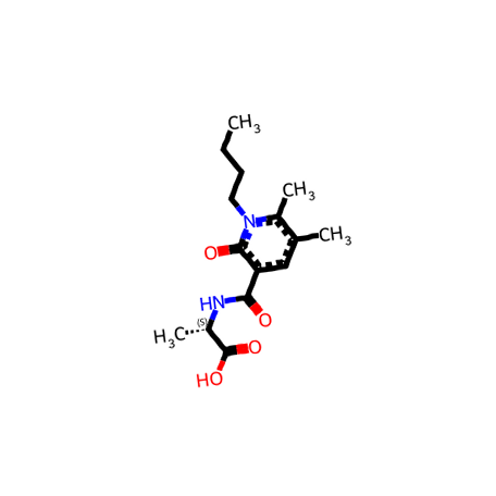 CCCCn1c(C)c(C)cc(C(=O)N[C@@H](C)C(=O)O)c1=O